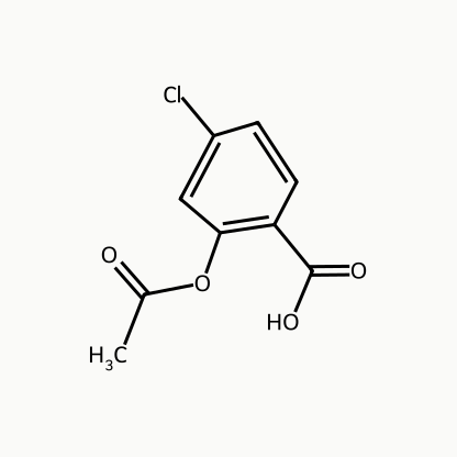 CC(=O)Oc1cc(Cl)ccc1C(=O)O